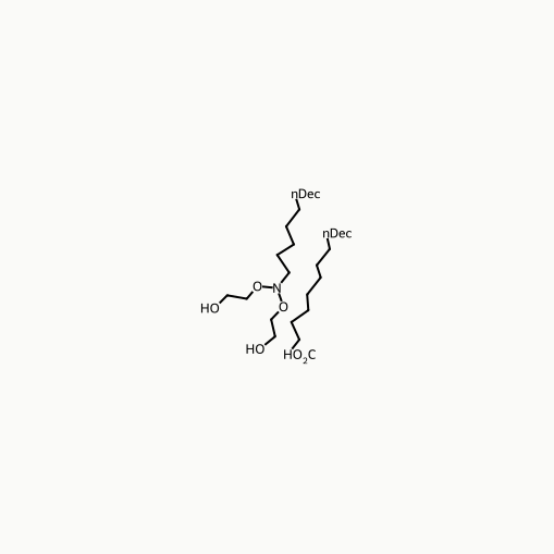 CCCCCCCCCCCCCCCCCC(=O)O.CCCCCCCCCCCCCCCN(OCCO)OCCO